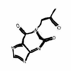 CC(=O)CN1C(=O)N=C2N=CN=C2C1=O